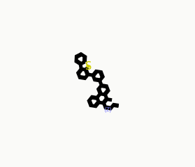 C=C/C=C\c1c(C)c2ccc(-c3cccc(-c4cccc5c4sc4ccccc45)c3)cc2c2ccccc12